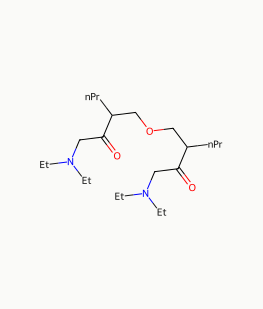 CCCC(COCC(CCC)C(=O)CN(CC)CC)C(=O)CN(CC)CC